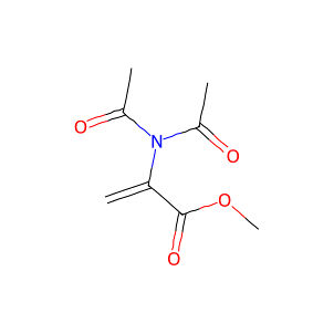 C=C(C(=O)OC)N(C(C)=O)C(C)=O